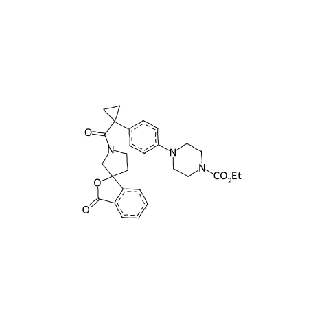 CCOC(=O)N1CCN(c2ccc(C3(C(=O)N4CCC5(C4)OC(=O)c4ccccc45)CC3)cc2)CC1